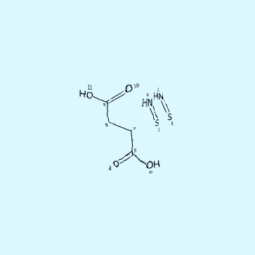 N=S.N=S.O=C(O)CCC(=O)O